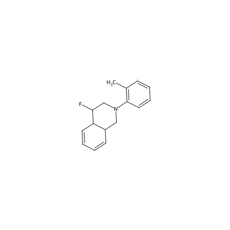 Cc1[c]cccc1N1CC(F)C2C=CC=CC2C1